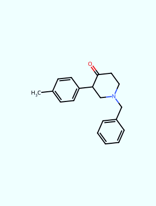 Cc1ccc(C2CN(Cc3ccccc3)CCC2=O)cc1